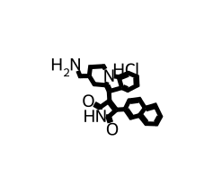 Cl.NCC1CCn2c(c(C3=C(c4ccc5ccccc5c4)C(=O)NC3=O)c3ccccc32)C1